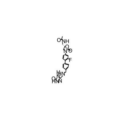 CC(=O)NC[C@H]1CN(c2ccc(-c3ccc(CNCc4n[nH]c(=O)[nH]4)cc3)c(F)c2)C(=O)O1